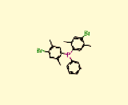 Cc1cc(P(c2ccccc2)c2cc(C)c(Br)cc2C)c(C)cc1Br